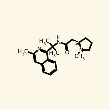 Cc1cc2ccccc2c(C(C)(C)NC(=O)C[C@H]2CCCN2C)n1